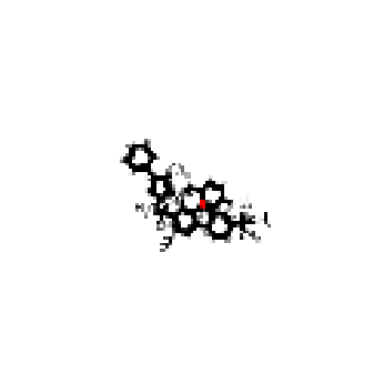 CC1=[C](/[Zr+2](=[CH]/c2ccc(F)cc2)[c]2c(C(C)(C)C)ccc3c2Cc2cc(C(C)(C)C)ccc2-3)C(C)C=C1c1ccccc1.[Cl-].[Cl-]